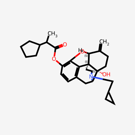 C=C1CC[C@@]2(O)C3Cc4ccc(OC(=O)C(C)C5CCCC5)c5c4[C@@]2(CCN3CC2CC2)[C@H]1O5